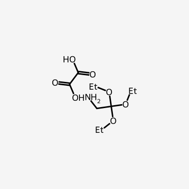 CCOC(CN)(OCC)OCC.O=C(O)C(=O)O